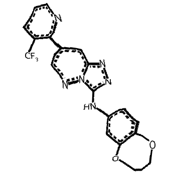 FC(F)(F)c1cccnc1-c1cnn2c(Nc3ccc4c(c3)OCCO4)nnc2c1